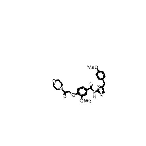 COc1ccc(Cc2cnc(NC(=O)c3ccc(OCC(=O)N4CCOCC4)c(OC)c3)s2)cc1